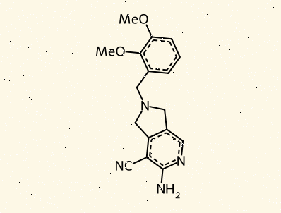 COc1cccc(CN2Cc3cnc(N)c(C#N)c3C2)c1OC